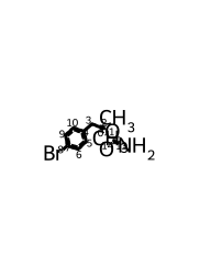 CC(C)(Cc1ccc(Br)cc1)OC(N)=O